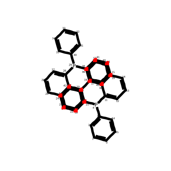 c1ccc(P(c2ccccc2)c2cccc3cccc(-c4cccc5cccc(P(c6ccccc6)c6ccccc6)c45)c23)cc1